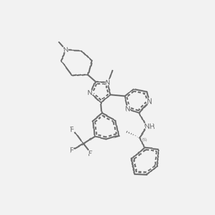 C[C@H](Nc1nccc(-c2c(-c3cccc(C(F)(F)F)c3)nc(C3CCN(C)CC3)n2C)n1)c1ccccc1